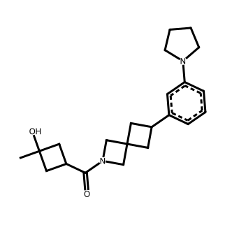 CC1(O)CC(C(=O)N2CC3(CC(c4cccc(N5CCCC5)c4)C3)C2)C1